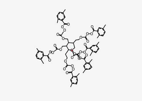 Cc1ccc(C)c(C(=O)OOC(=O)OCCC(COC(=O)OOC(=O)c2cc(C)ccc2C)C(COC(=O)OOC(=O)c2cc(C)ccc2C)C(COC(=O)OOC(=O)c2cc(C)ccc2C)C(CCOC(=O)OOC(=O)c2cc(C)ccc2C)COC(=O)OOC(=O)c2cc(C)ccc2C)c1